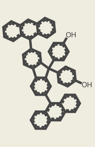 Oc1ccc(C2(c3ccc(O)cc3)c3cc(-c4c5ccccc5cc5ccccc45)ccc3-c3ccc(-c4c5ccccc5cc5ccccc45)cc32)cc1